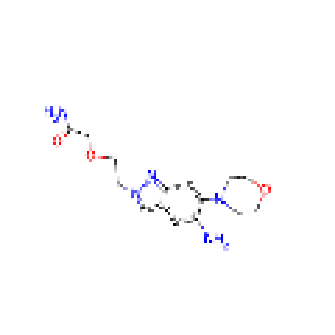 NC(=O)COCCn1cc2cc(N)c(N3CCOCC3)cc2n1